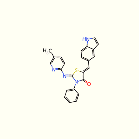 Cc1ccc(/N=C2\S/C(=C\c3ccc4[nH]ccc4c3)C(=O)N2c2ccccc2)nc1